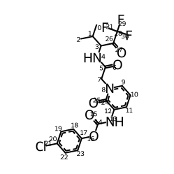 CC(C)C(NC(=O)Cn1cccc(NC(=O)Oc2ccc(Cl)cc2)c1=O)C(=O)C(F)(F)F